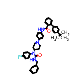 CC(C)(C)c1ccc(-c2ccccc2C(=O)Nc2ccc(N3CCC(N(C(=O)NCc4ccccc4)c4ccc(F)cc4)CC3)cc2)cc1